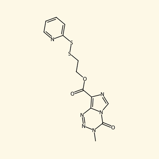 Cn1nnc2c(C(=O)OCCSSc3ccccn3)ncn2c1=O